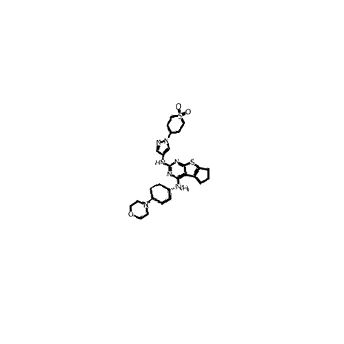 O=S1(=O)CCC(n2cc(Nc3nc(N[C@H]4CC[C@H](N5CCOCC5)CC4)c4c5c(sc4n3)CCC5)cn2)CC1